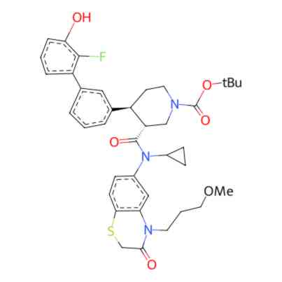 COCCCN1C(=O)CSc2ccc(N(C(=O)[C@H]3CN(C(=O)OC(C)(C)C)CC[C@@H]3c3cccc(-c4cccc(O)c4F)c3)C3CC3)cc21